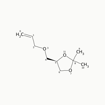 C=CCOC[C@@H]1COC(C)(C)O1